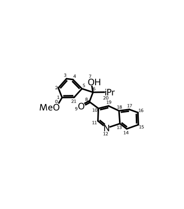 COc1cccc(C(O)(C(=O)c2cnc3ccccc3c2)C(C)C)c1